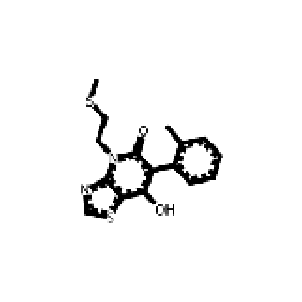 CSCCn1c(=O)c(-c2ccccc2C)c(O)c2scnc21